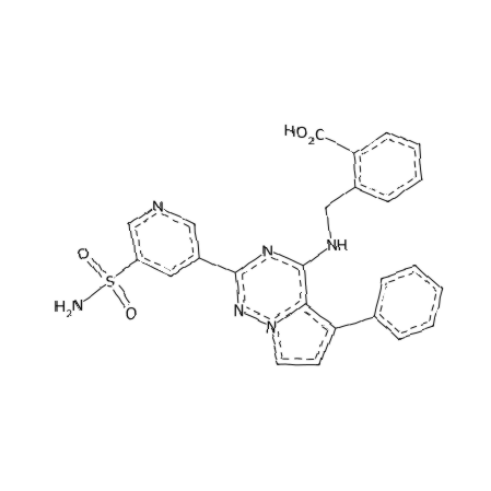 NS(=O)(=O)c1cncc(-c2nc(NCc3ccccc3C(=O)O)c3c(-c4ccccc4)ccn3n2)c1